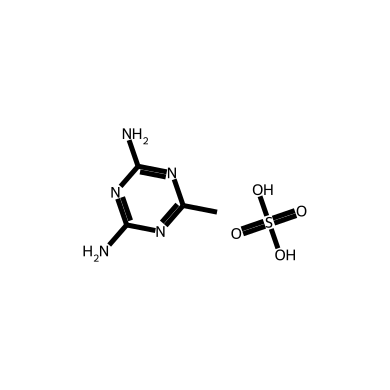 Cc1nc(N)nc(N)n1.O=S(=O)(O)O